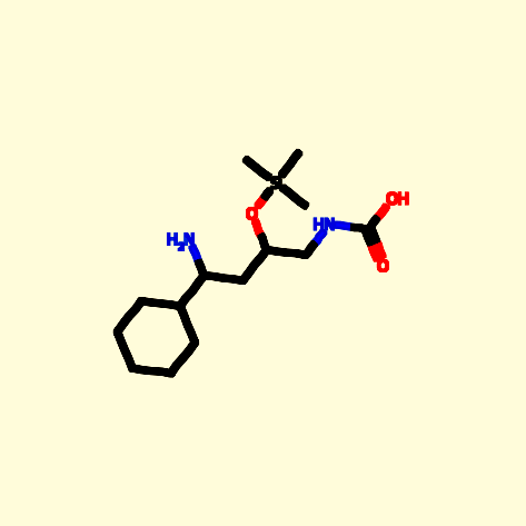 C[Si](C)(C)OC(CNC(=O)O)CC(N)C1CCCCC1